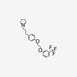 FC(F)(F)c1cccc(OCCOc2ccc(CCCN3CCCC3)cc2)c1